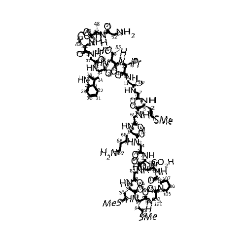 CSCC[C@H](NC(=O)CNC(=O)CNC(=O)[C@@H](NC(=O)[C@@H](NC(=O)[C@H](Cc1c[nH]c2ccccc12)NC(=O)CNC(=O)[C@H](CC(=O)O)NC(=O)[C@H](C)NC(=O)CN)[C@@H](C)O)C(C)C)C(=O)NCC(=O)N[C@@H](CCCCN)C(=O)NCC(=O)N[C@H](C(=O)NCC(=O)N[C@@H](CCSC)C(=O)N[C@@H](CCSC)C(=O)N[C@@H](C)C(=O)N1CCC[C@H]1C(=O)N[C@@H](CO)C(=O)O)C(C)C